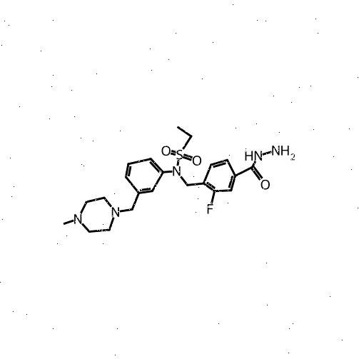 CCS(=O)(=O)N(Cc1ccc(C(=O)NN)cc1F)c1cccc(CN2CCN(C)CC2)c1